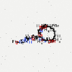 CCOCCN1CCN(c2ncc(CNC(=O)O[C@@H]3CC[C@@H](C[C@@H](N)[C@@H]4CC(=O)[C@H](C)/C=C(\C)[C@@H](O)[C@@H](O)C(=O)[C@H](C)C[C@H](C)/C=C/C=C/C=C(\C)[C@@H](OC)C[C@@H]5CC[C@@H](C)[C@@](O)(O5)C(=O)C(=O)N5CCCC[C@H]5C(=O)O4)C[C@H]3OC)cn2)CC1